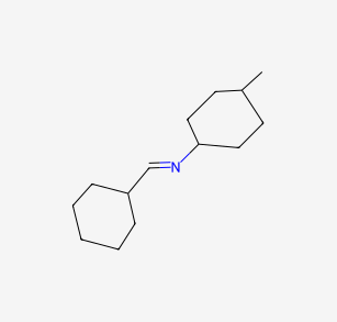 CC1CCC(/N=C/C2CCCCC2)CC1